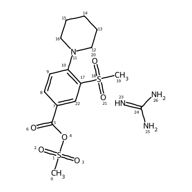 CS(=O)(=O)OC(=O)c1ccc(N2CCCCC2)c(S(C)(=O)=O)c1.N=C(N)N